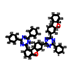 c1ccc(-c2nc(-c3ccc4c(c3)oc3ccccc34)nc(-c3ccc4c(c3)oc3cccc(-c5nc(-c6ccccc6)nc(-c6ccccc6)n5)c34)n2)cc1